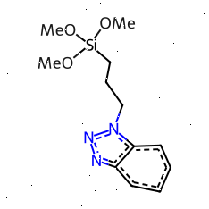 CO[Si](CCCn1nnc2ccccc21)(OC)OC